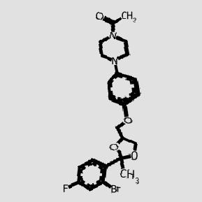 CC(=O)N1CCN(c2ccc(OCC3COC(C)(c4ccc(F)cc4Br)O3)cc2)CC1